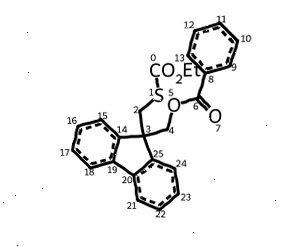 CCOC(=O)SCC1(COC(=O)c2ccccc2)c2ccccc2-c2ccccc21